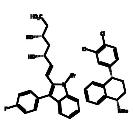 CC(C)n1c(/C=C/[C@H](O)C[C@H](O)CC(=O)O)c(-c2ccc(F)cc2)c2ccccc21.CN[C@H]1CC[C@@H](c2ccc(Cl)c(Cl)c2)c2ccccc21